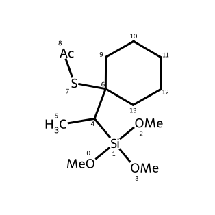 CO[Si](OC)(OC)C(C)C1(SC(C)=O)CCCCC1